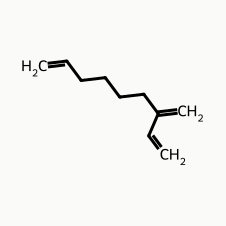 C=CCCCCC(=C)C=C